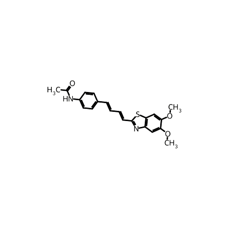 COc1cc2nc(C=CC=Cc3ccc(NC(C)=O)cc3)sc2cc1OC